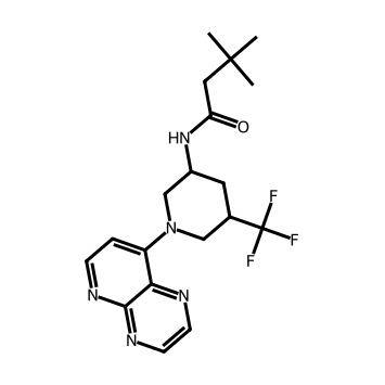 CC(C)(C)CC(=O)NC1CC(C(F)(F)F)CN(c2ccnc3nccnc23)C1